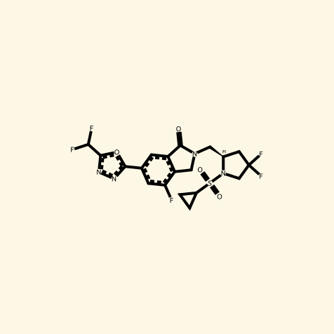 O=C1c2cc(-c3nnc(C(F)F)o3)cc(F)c2CN1C[C@H]1CC(F)(F)CN1S(=O)(=O)C1CC1